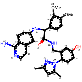 COc1ccc(C(Nc2ccc3c(N)nccc3c2)C(=O)NCc2cc(O)ccc2-n2nc(C)cc2C)cc1OC